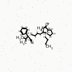 CCCC[N@@+]1(C(=O)CCCC[C@@](C#N)(c2ccccc2)C(C)C)CCCC1C(N)=O